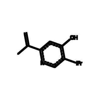 C=C(C)c1cc(O)c(C(C)C)cn1